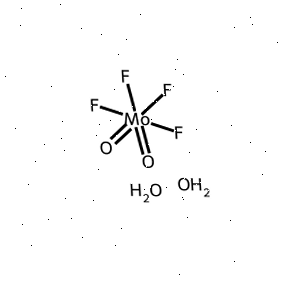 O.O.[O]=[Mo](=[O])([F])([F])([F])[F]